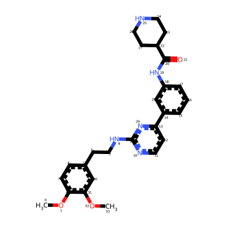 COc1ccc(CCNc2nccc(-c3cccc(NC(=O)C4CCNCC4)c3)n2)cc1OC